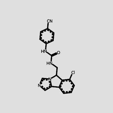 N#Cc1ccc(NC(=O)NCC2c3c(Cl)cccc3-c3cncn32)cc1